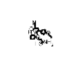 CCCOc1ccc(-c2cc(C#N)c(=O)[nH]c2C)cc1.NC(O)CCOc1ccccc1